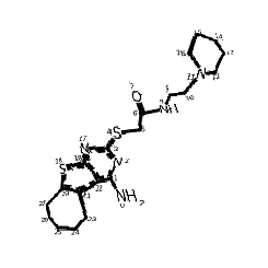 Nc1nc(SCC(=O)NCCN2CCCCC2)nc2sc3c(c12)CCCCC3